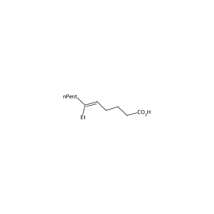 CCCCCC(=CCCCC(=O)O)CC